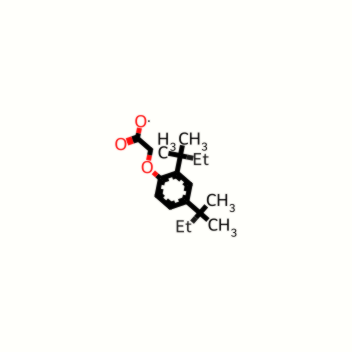 CCC(C)(C)c1ccc(OCC([O])=O)c(C(C)(C)CC)c1